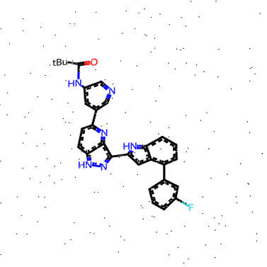 CC(C)(C)C(=O)Nc1cncc(-c2ccc3[nH]nc(-c4cc5c(-c6cccc(F)c6)cccc5[nH]4)c3n2)c1